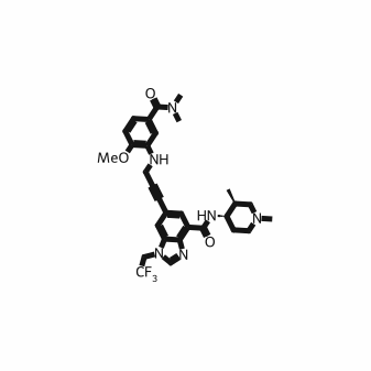 COc1ccc(C(=O)N(C)C)cc1NCC#Cc1cc(C(=O)N[C@H]2CCN(C)C[C@@H]2C)c2ncn(CC(F)(F)F)c2c1